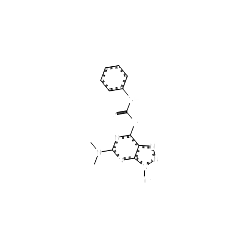 CC(C)n1nnc2c(OC(=O)Nc3ccccc3)nc(N(C)C)nc21